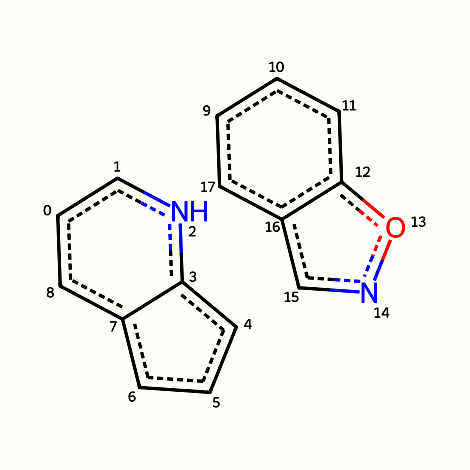 c1c[nH]c2cccc-2c1.c1ccc2oncc2c1